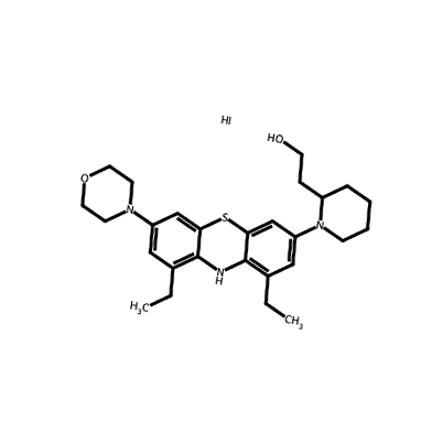 CCc1cc(N2CCOCC2)cc2c1Nc1c(CC)cc(N3CCCCC3CCO)cc1S2.I